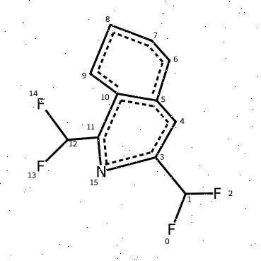 FC(F)c1cc2ccccc2c(C(F)F)n1